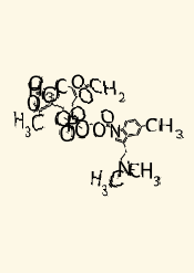 C=C1OC(C)=C(COP(=O)(OCOC(=O)n2cc(CCN(C)C)c3cc(C)ccc32)OCc2oc(=O)oc2C)O1